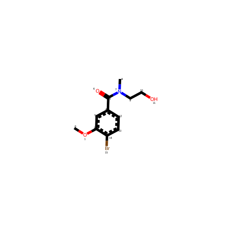 COc1cc(C(=O)N(C)CCO)ccc1Br